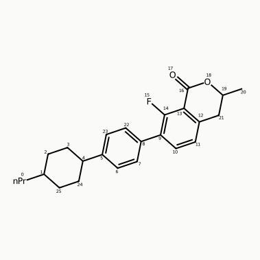 CCCC1CCC(c2ccc(-c3ccc4c(c3F)C(=O)OC(C)C4)cc2)CC1